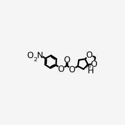 O=C(Oc1ccc([N+](=O)[O-])cc1)OC1CC2OCO[C@@H]2C1